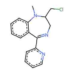 CN1c2ccccc2C(c2ccccn2)=NCC1CCl